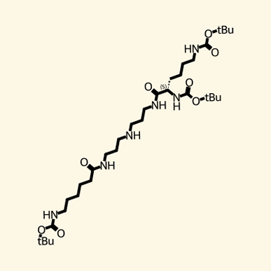 CC(C)(C)OC(=O)NCCCCCC(=O)NCCCNCCCNC(=O)[C@H](CCCCNC(=O)OC(C)(C)C)NC(=O)OC(C)(C)C